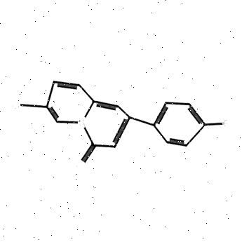 O=c1cc(-c2ccc(F)cc2)cc2ccc(Cl)cn12